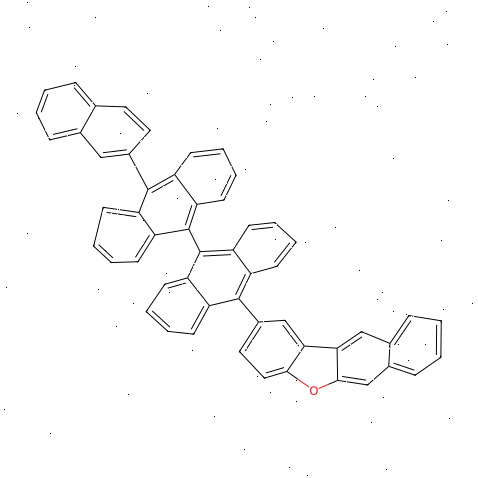 c1ccc2cc(-c3c4ccccc4c(-c4c5ccccc5c(-c5ccc6oc7cc8ccccc8cc7c6c5)c5ccccc45)c4ccccc34)ccc2c1